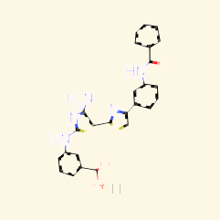 COC(=O)c1cccc(Nc2nc(N)c(-c3nc(-c4cccc(NC(=O)c5ccccc5)c4)cs3)s2)c1